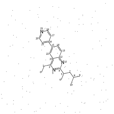 CCc1nc(C(C)CC(C)C)nc2ccc(-c3ccncc3)cc12